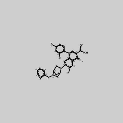 O=C(O)c1cn(-c2ccc(F)cc2F)c2cc(N3CC4CC3CN4Cc3ccccc3)c(F)cc2c1=O